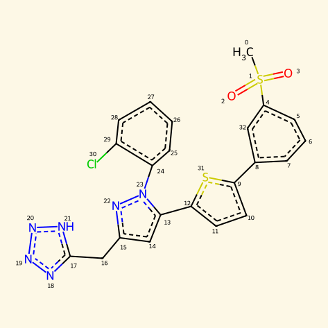 CS(=O)(=O)c1cccc(-c2ccc(-c3cc(Cc4nnn[nH]4)nn3-c3ccccc3Cl)s2)c1